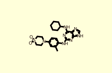 Cc1cc(N2CCS(=O)(=O)CC2)ccc1Nc1nc(NC2CCCCC2)c2nc[nH]c2n1